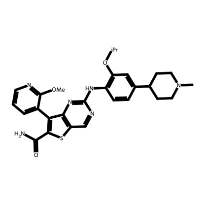 COc1ncccc1-c1c(C(N)=O)sc2cnc(Nc3ccc(C4CCN(C)CC4)cc3OC(C)C)nc12